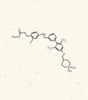 Cc1cc(OCC2CCS(O)(O)CC2)cc(C)c1-c1cccc(CNc2ccc(CCC(=O)OC(C)(C)C)c(F)c2)c1